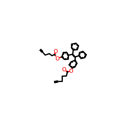 C#CCCCC(=O)Oc1ccc(C(=C(c2ccccc2)c2ccc(OC(=O)CCCC#C)cc2)c2ccccc2)cc1